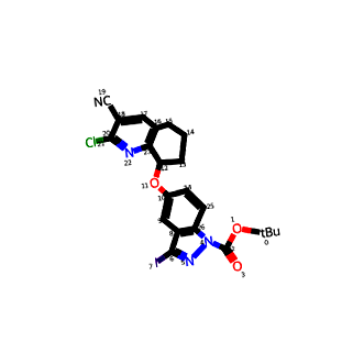 CC(C)(C)OC(=O)n1nc(I)c2cc(OC3CCCc4cc(C#N)c(Cl)nc43)ccc21